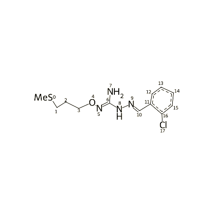 CSCCCO/N=C(\N)N/N=C/c1ccccc1Cl